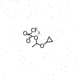 CC(OC1CC1)OS(=O)(=O)C(F)(F)F